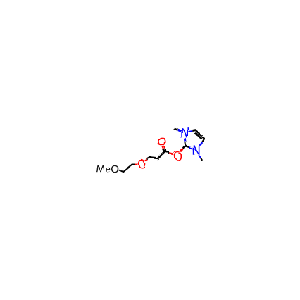 COCCOCCC(=O)OC1N(C)C=CN1C